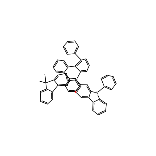 CC1(C)c2ccccc2-c2cc(N(c3ccc4c5ccccc5n(-c5ccccc5)c4c3)c3cccc(-c4ccccc4)c3-c3ccccc3-c3ccccc3)ccc21